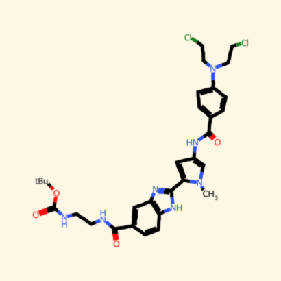 Cn1cc(NC(=O)c2ccc(N(CCCl)CCCl)cc2)cc1-c1nc2cc(C(=O)NCCNC(=O)OC(C)(C)C)ccc2[nH]1